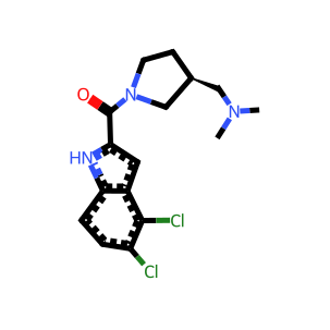 CN(C)C[C@@H]1CCN(C(=O)c2cc3c(Cl)c(Cl)ccc3[nH]2)C1